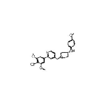 COc1ccc(NC2CCN(Cc3ccnc(-c4cc(OC)c(Cl)c(OC)c4)c3)CC2)cc1